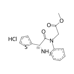 COC(=O)CN(C(=O)[C@H](N)c1cccs1)c1ccccc1.Cl